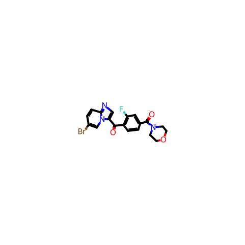 O=C(c1ccc(C(=O)N2CCOCC2)cc1F)c1cnc2ccc(Br)cn12